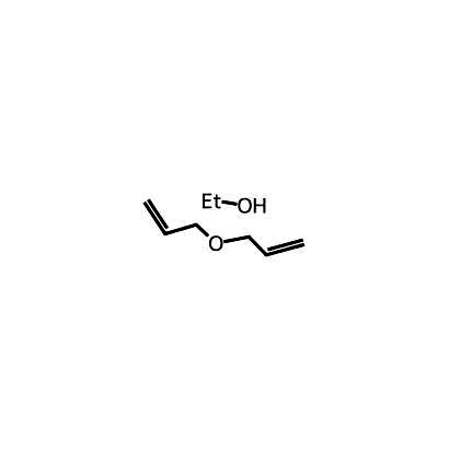 C=CCOCC=C.CCO